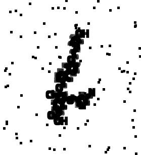 Cc1c(COc2cc(OCc3cncc(C#N)c3)c3c(c2Cl)CCN(CC(=O)O)C3)cccc1-c1cccc(OCCCN2CCC(O)C2)c1C